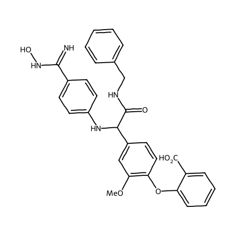 COc1cc(C(Nc2ccc(C(=N)NO)cc2)C(=O)NCc2ccccc2)ccc1Oc1ccccc1C(=O)O